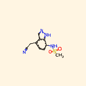 CS(=O)(=O)Nc1ccc(CC#N)c2cn[nH]c12